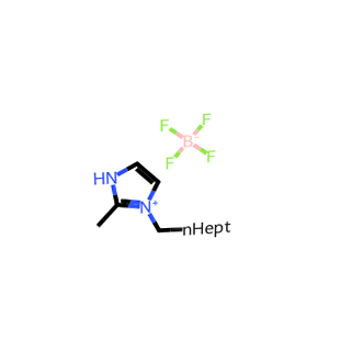 CCCCCCCC[n+]1cc[nH]c1C.F[B-](F)(F)F